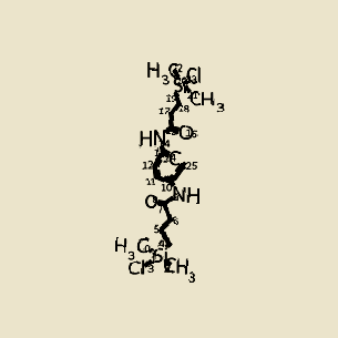 C[Si](C)(Cl)CCCC(=O)Nc1ccc(NC(=O)CCC[Si](C)(C)Cl)cc1